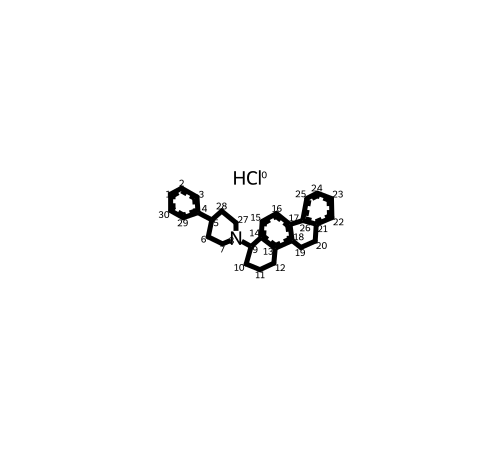 Cl.c1ccc(C2CCN(C3CCCc4c3ccc3c4CCc4ccccc4-3)CC2)cc1